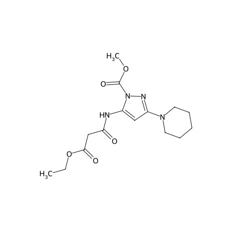 CCOC(=O)CC(=O)Nc1cc(N2CCCCC2)nn1C(=O)OC